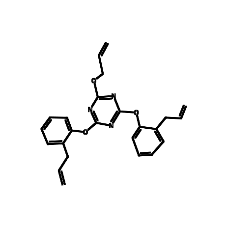 C=CCOc1nc(Oc2ccccc2CC=C)nc(Oc2ccccc2CC=C)n1